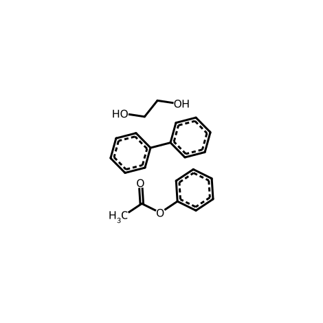 CC(=O)Oc1ccccc1.OCCO.c1ccc(-c2ccccc2)cc1